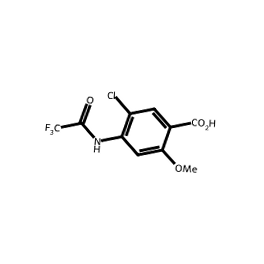 COc1cc(NC(=O)C(F)(F)F)c(Cl)cc1C(=O)O